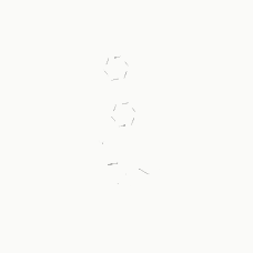 CC1(C)CC1(C=C(Cl)Cl)C(=O)OC(NS)c1cccc(Oc2ccccc2)c1